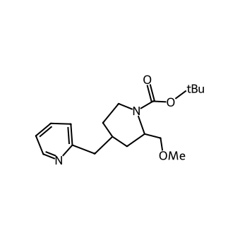 COCC1CC(Cc2ccccn2)CCN1C(=O)OC(C)(C)C